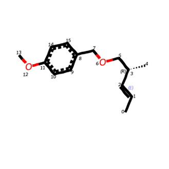 C/C=C/[C@@H](C)COCc1ccc(OC)cc1